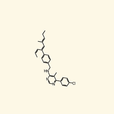 C\C=C/C(=C\C(C)=C\CC)c1ccc(CNc2ncnc(-c3ccc(Cl)cc3)c2C)cc1